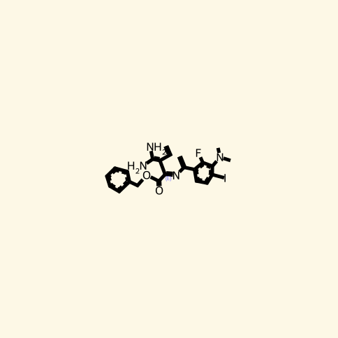 C=CC(=C(N)N)/C(=N\C(=C)c1ccc(I)c(N(C)C)c1F)C(=O)OCc1ccccc1